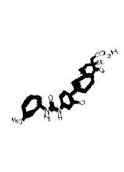 CCC1(CC(=O)O)CCc2cc(-c3ccc(NC(=O)Nc4cccc(OC)c4)cc3Cl)ccc2C1=O